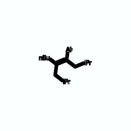 CCCCC(CC(C)C)=[C]([Al])CC(C)C